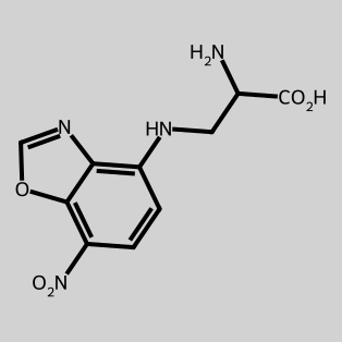 NC(CNc1ccc([N+](=O)[O-])c2ocnc12)C(=O)O